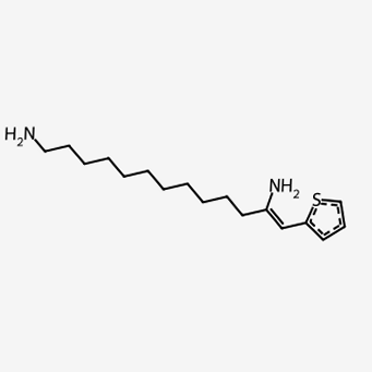 NCCCCCCCCCCCC(N)=Cc1cccs1